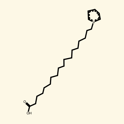 O=C(O)CCCCCCCCCCCCCCCCC[si]1ccccc1